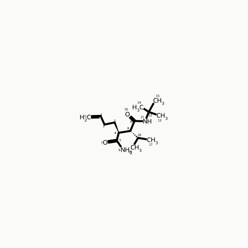 C=CCC[C@H](C(N)=O)[C@H](C(=O)NC(C)(C)C)C(C)C